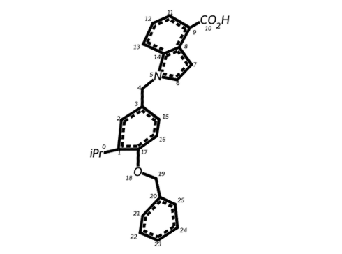 CC(C)c1cc(Cn2ccc3c(C(=O)O)cccc32)ccc1OCc1ccccc1